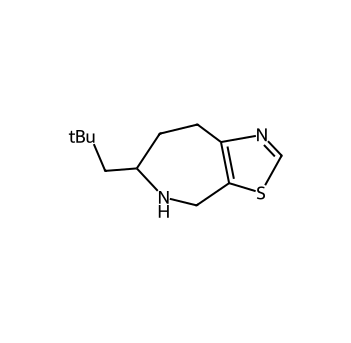 CC(C)(C)CC1CCc2ncsc2CN1